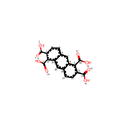 O=C(O)c1ccc2cc3c(C(=O)O)c(C(=O)O)ccc3cc2c1C(=O)O